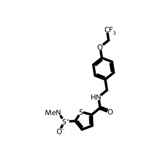 CN[S+]([O-])c1ccc(C(=O)NCc2ccc(OCC(F)(F)F)cc2)s1